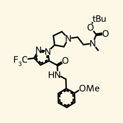 COc1ccccc1CNC(=O)c1cc(C(F)(F)F)nn1C1CCN(CCN(C)C(=O)OC(C)(C)C)C1